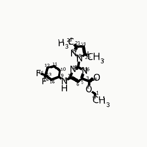 CCOC(=O)c1cc(NC2CCCC(F)(F)C2)nc(-n2nc(C)cc2C)n1